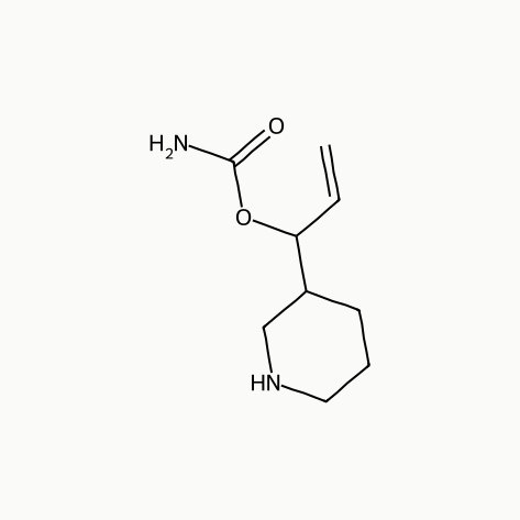 C=CC(OC(N)=O)C1CCCNC1